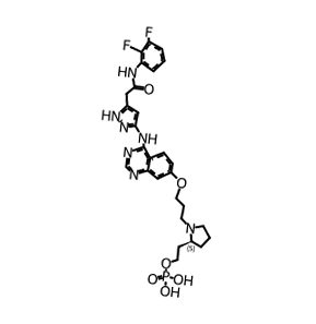 O=C(Cc1cc(Nc2ncnc3cc(OCCCN4CCC[C@H]4CCOP(=O)(O)O)ccc23)n[nH]1)Nc1cccc(F)c1F